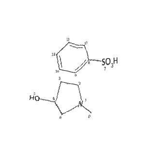 CN1CCC(O)C1.O=S(=O)(O)c1ccccc1